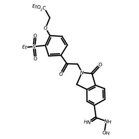 CCOC(=O)COc1ccc(C(=O)CN2Cc3cc(C(=N)NO)ccc3C2=O)cc1S(=O)(=O)CC